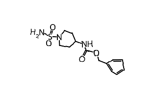 NS(=O)(=O)N1CCC(NC(=O)OCc2ccccc2)CC1